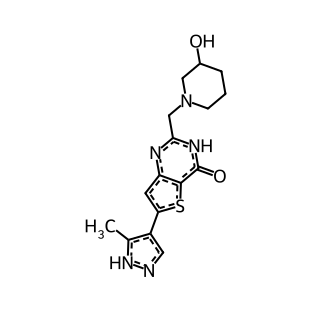 Cc1[nH]ncc1-c1cc2nc(CN3CCCC(O)C3)[nH]c(=O)c2s1